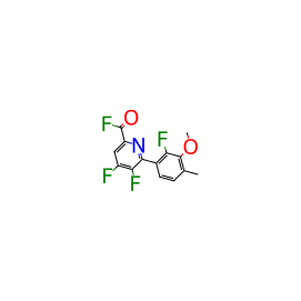 COc1c(C)ccc(-c2nc(C(=O)F)cc(F)c2F)c1F